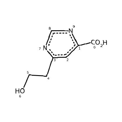 O=C(O)c1cc(CCO)ncn1